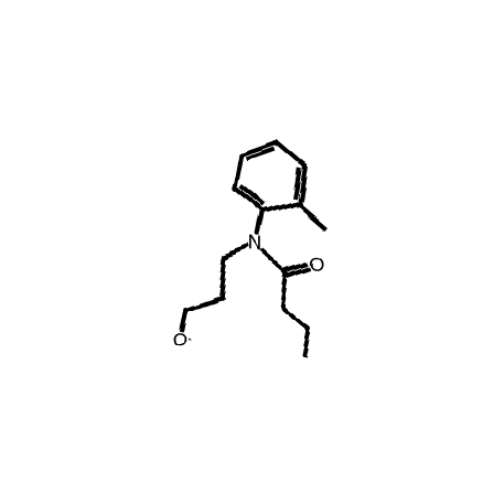 CCCC(=O)N(CCC[O])c1ccccc1C